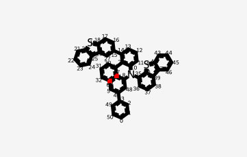 c1ccc(-c2cccc(N(c3cccc(-c4ccc5sc6ccccc6c5c4)c3-c3ccccc3)c3cccc4c3sc3ccccc34)c2)cc1